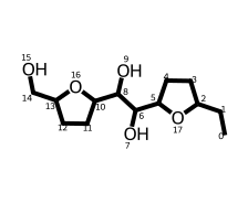 CCC1CCC(C(O)C(O)C2CCC(CO)O2)O1